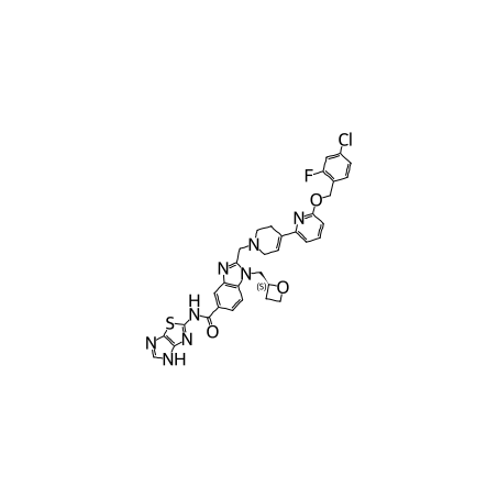 O=C(Nc1nc2[nH]cnc2s1)c1ccc2c(c1)nc(CN1CC=C(c3cccc(OCc4ccc(Cl)cc4F)n3)CC1)n2C[C@@H]1CCO1